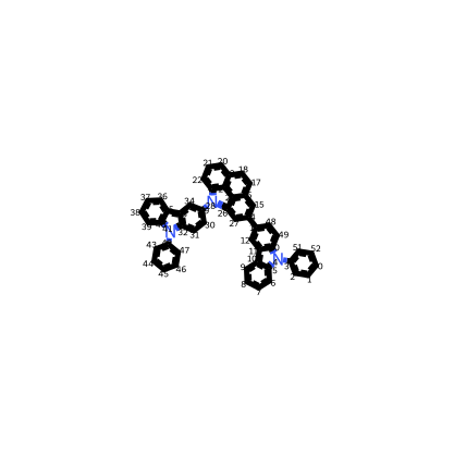 c1ccc(-n2c3ccccc3c3cc(-c4cc5ccc6cccc7c6c5c(c4)n7-c4ccc5c(c4)c4ccccc4n5-c4ccccc4)ccc32)cc1